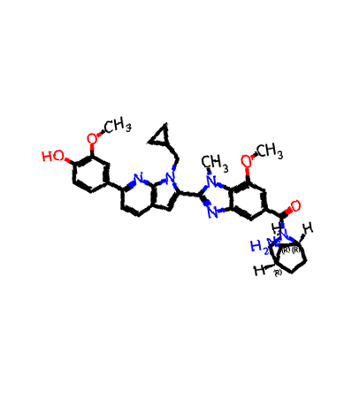 COc1cc(-c2ccc3cc(-c4nc5cc(C(=O)N6C[C@H]7CC[C@@H]6[C@@H]7N)cc(OC)c5n4C)n(CC4CC4)c3n2)ccc1O